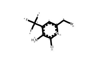 Nc1c(C(F)(F)F)cc([CH]Br)nc1Cl